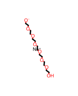 [Na+].[O-]CCOCCOCCOCCOCCOCCOCCO